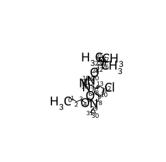 CCCCOC(=O)N(Cc1cc(Cl)cc(-c2nncn2COCC[Si](C)(C)C)c1)C1CC1